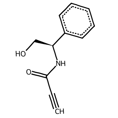 C#CC(=O)N[C@@H](CO)c1ccccc1